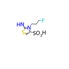 N=c1scc(S(=O)(=O)O)n1CCCF